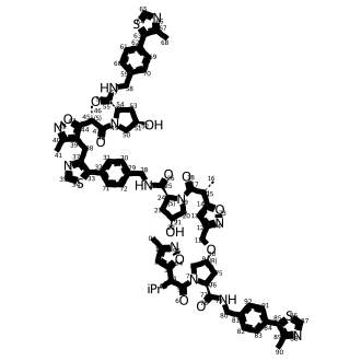 Cc1cc(C(C(=O)N2C[C@H](OCc3cc([C@@H](C)C(=O)N4C[C@H](O)C[C@H]4C(=O)NCc4ccc(-c5scnc5Cc5c(C)noc5[C@H](C)C(=O)N5C[C@H](O)C[C@H]5C(=O)NCc5ccc(-c6scnc6C)cc5)cc4)on3)C[C@H]2C(=O)NCc2ccc(-c3scnc3C)cc2)C(C)C)on1